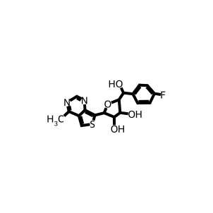 Cc1ncnc2c(C3OC(C(O)c4ccc(F)cc4)C(O)C3O)scc12